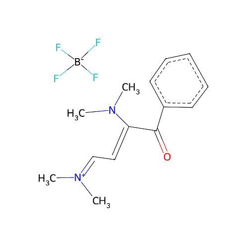 CN(C)C(=CC=[N+](C)C)C(=O)c1ccccc1.F[B-](F)(F)F